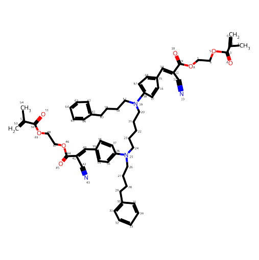 C=C(C)C(=O)OCCOC(=O)/C(C#N)=C/c1ccc(N(CCCCCN(CCCCc2ccccc2)c2ccc(/C=C(\C#N)C(=O)OCCOC(=O)C(=C)C)cc2)CCCCc2ccccc2)cc1